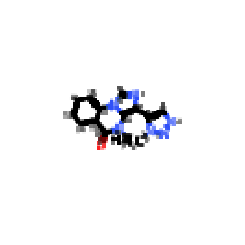 Cn1nncc1-c1ncn2c3ccccc3c(=O)n(C)c12